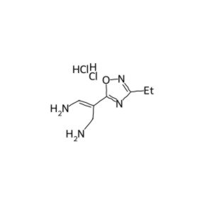 CCc1noc(C(=CN)CN)n1.Cl.Cl